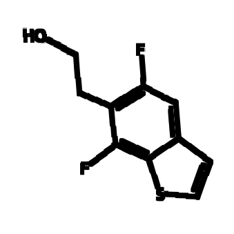 OCCc1c(F)cc2ccsc2c1F